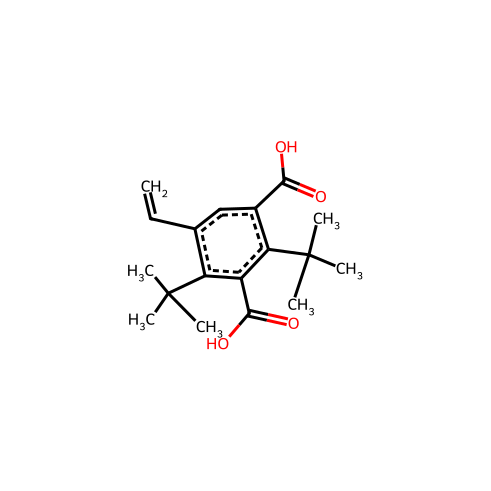 C=Cc1cc(C(=O)O)c(C(C)(C)C)c(C(=O)O)c1C(C)(C)C